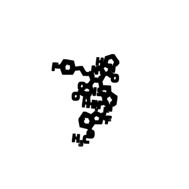 COc1cccc2c1CC(F)(F)[C@H]2Nc1nccc2cc(-c3c4c(nc(CCc5ccc(F)cc5)c3-c3n[nH]c(=O)o3)[C@@H]3CCCN3C4=O)sc12